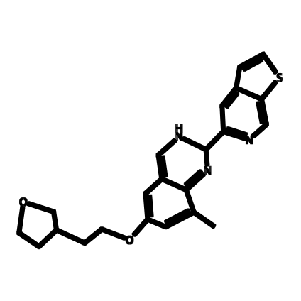 Cc1cc(OCCC2CCOC2)cc2c1=NC(c1cc3ccsc3cn1)NC=2